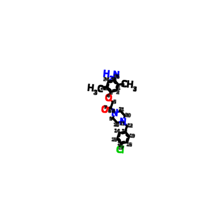 Cc1cc(OCC(=O)N2CCN(Cc3ccc(Cl)cc3)CC2)c(C)cc1N